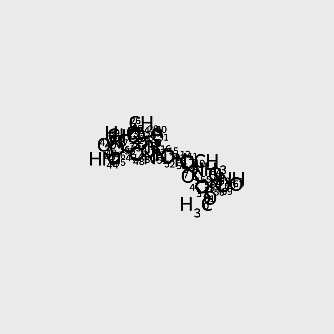 COc1ccc(C(=O)NC2(C)CCN(C3CCN(c4nc(C(CO)(CC(C)C)c5cccs5)c5cc(-c6cn(C)c(=O)c7[nH]ccc67)ccc5n4)CC3)CC2)cc1N1CCC(=O)NC1=O